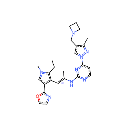 CCc1c(/C=C(\C)Nc2nccc(-n3cc(CN4CCC4)c(C)n3)n2)c(-c2ncco2)cn1C